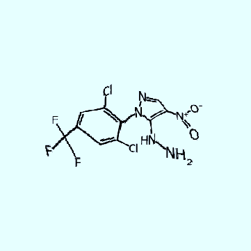 NNc1c([N+](=O)[O-])cnn1-c1c(Cl)cc(C(F)(F)F)cc1Cl